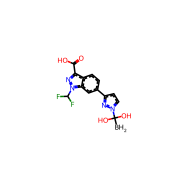 BC(O)(O)n1ccc(-c2ccc3c(C(=O)O)nn(C(F)F)c3c2)n1